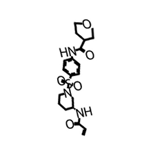 C=CC(=O)N[C@H]1CCCN(S(=O)(=O)c2ccc(NC(=O)C3CCOCC3)cc2)C1